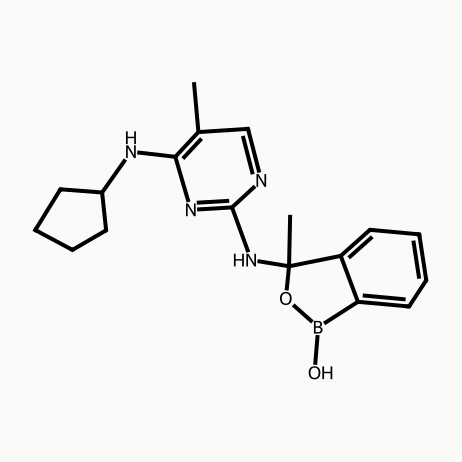 Cc1cnc(NC2(C)OB(O)c3ccccc32)nc1NC1CCCC1